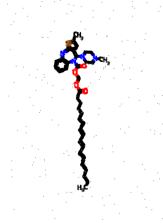 CCCCCCCCCCCCCCCCCC(=O)OCOC(=O)N1C(N2CCN(C)CC2)=c2cc(C)sc2=Nc2ccccc21